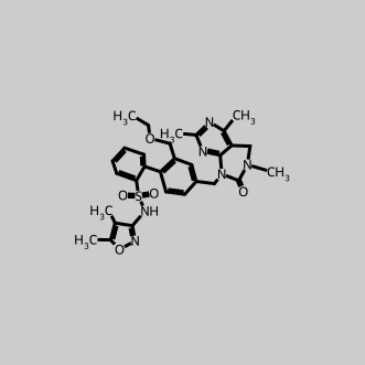 CCOCc1cc(CN2C(=O)N(C)Cc3c(C)nc(C)nc32)ccc1-c1ccccc1S(=O)(=O)Nc1noc(C)c1C